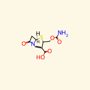 NC(=O)OCC1S[C@@H]2CC(=O)N2C=C1C(=O)O